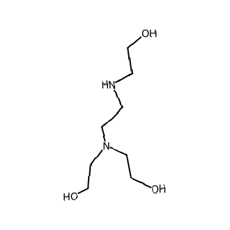 OCCNCCN(CCO)CCO